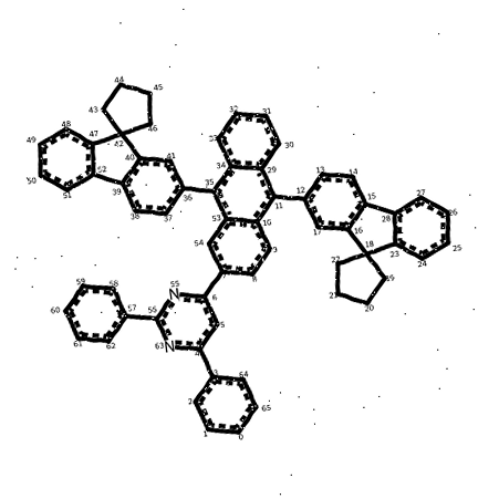 c1ccc(-c2cc(-c3ccc4c(-c5ccc6c(c5)C5(CCCC5)c5ccccc5-6)c5ccccc5c(-c5ccc6c(c5)C5(CCCC5)c5ccccc5-6)c4c3)nc(-c3ccccc3)n2)cc1